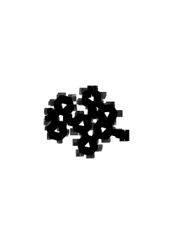 CC1(C)c2ccccc2N(c2cc(-c3ccccc3-c3cccc(C#N)c3)cc(-n3c4ccccc4c4cnccc43)c2)c2ccccc21